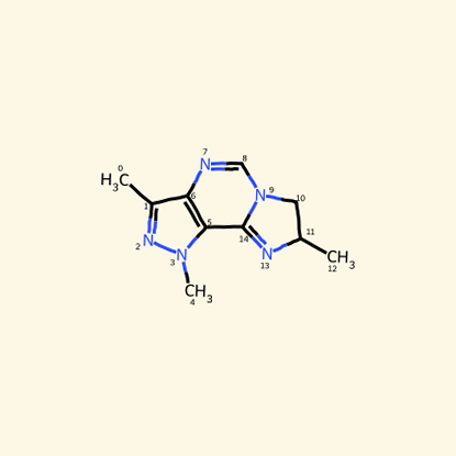 Cc1nn(C)c2c1N=CN1CC(C)N=C21